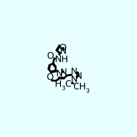 CC(C)n1ncnc1-c1cc2n(n1)-c1cc(C(=O)Nc3ccon3)ccc1OCC2